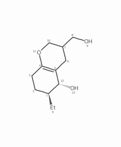 CC[C@H]1CCC2=C(CC(CO)CO2)[C@@H]1O